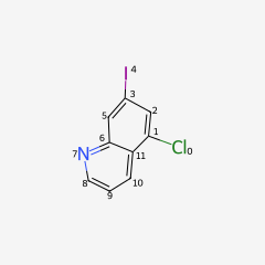 Clc1cc(I)cc2ncccc12